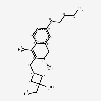 CC1=C(CN2CC(C=O)(CO)C2)[C@@H](C)Cc2cc(OCCCC(F)(F)F)ccc21